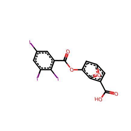 O=C(Oc1cc2cc(C(=O)O)c1o2)c1cc(I)cc(I)c1I